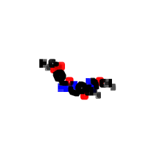 CCS(=O)(=O)c1ccc(CC(=O)Nc2ccc3c(n2)CCC(C)(c2ncc(OC)cn2)C3=O)cc1